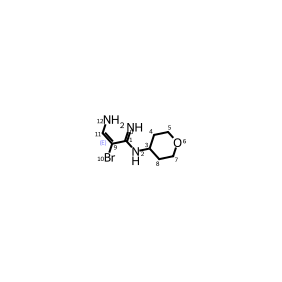 N=C(NC1CCOCC1)/C(Br)=C\N